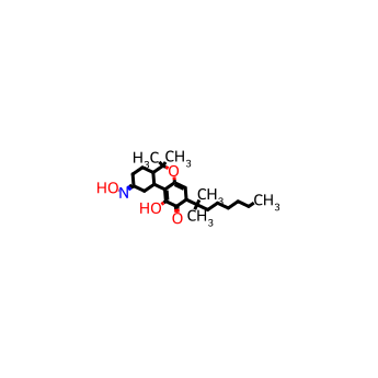 CCCCCCC(C)(C)C1C=C2OC(C)(C)C3CCC(=NO)CC3C2=C(O)C1=O